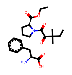 CCOC(=O)[C@@H]1CCCN1C(=O)C(=O)C(C)(C)CC.N[C@@H](Cc1ccccc1)C(=O)O